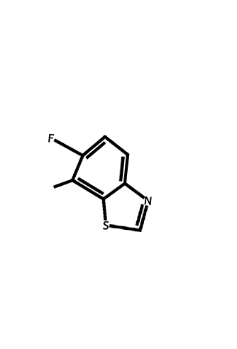 Cc1c(F)ccc2ncsc12